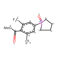 COC(=O)c1c(C(F)(F)F)cc(P2(=O)CCCC2)cc1C(F)(F)F